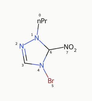 CCCN1N=CN(Br)C1[N+](=O)[O-]